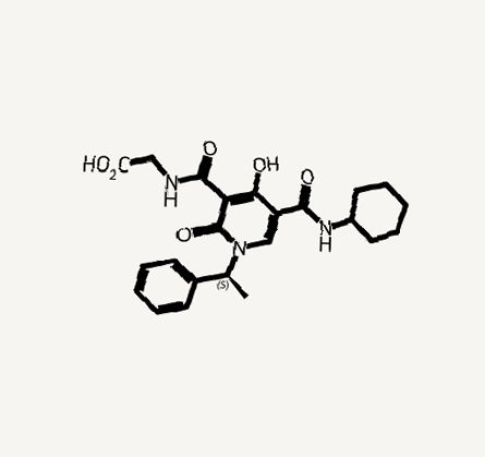 C[C@@H](c1ccccc1)n1cc(C(=O)NC2CCCCC2)c(O)c(C(=O)NCC(=O)O)c1=O